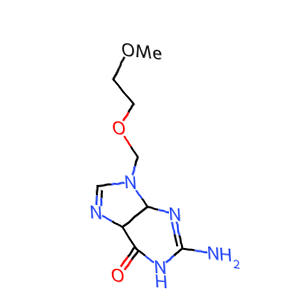 COCCOCN1C=NC2C(=O)NC(N)=NC21